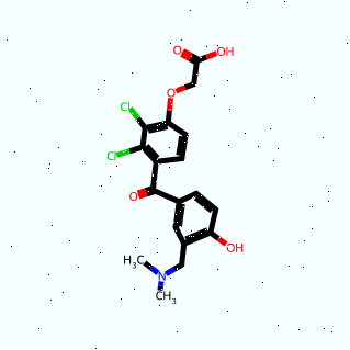 CN(C)Cc1cc(C(=O)c2ccc(OCC(=O)O)c(Cl)c2Cl)ccc1O